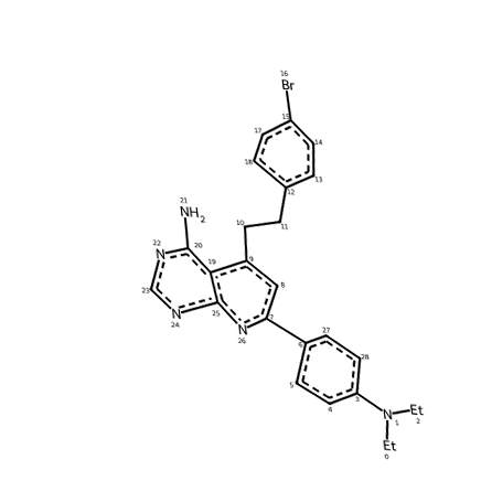 CCN(CC)c1ccc(-c2cc(CCc3ccc(Br)cc3)c3c(N)ncnc3n2)cc1